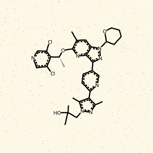 Cc1cc2c(nc1O[C@H](C)c1c(Cl)cncc1Cl)c(-c1ccc(-c3c(C)nn(CC(C)(C)O)c3C)nc1)nn2C1CCCCO1